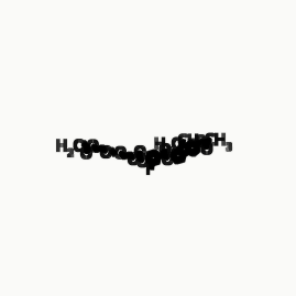 C=CC(=O)OCCOCCOCCOC(=O)Oc1ccc(C(=O)Oc2ccc3c(c2)C(C)(C)c2cc(OC(C)=O)ccc2-3)cc1F